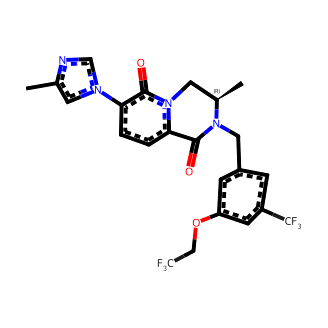 Cc1cn(-c2ccc3n(c2=O)C[C@@H](C)N(Cc2cc(OCC(F)(F)F)cc(C(F)(F)F)c2)C3=O)cn1